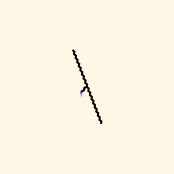 CCCCCCCCCCCCCCCCCCC(CCCI)CCCCCCCCCCCCCCCCCC